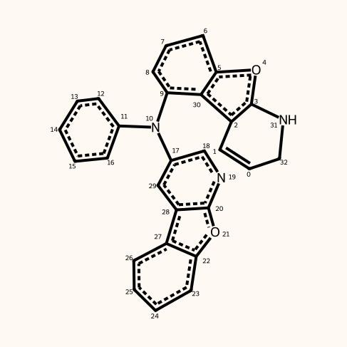 C1=Cc2c(oc3cccc(N(c4ccccc4)c4cnc5oc6ccccc6c5c4)c23)NC1